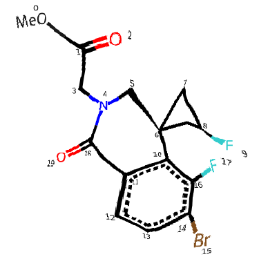 COC(=O)CN1C[C@]2(C[C@H]2F)c2c(ccc(Br)c2F)C1=O